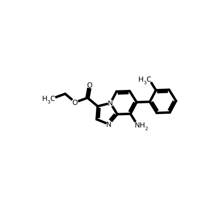 CCOC(=O)c1cnc2c(N)c(-c3ccccc3C)ccn12